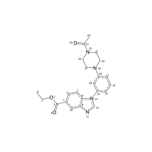 CCOC(=O)c1ccc2c(c1)ncn2-c1cccc(N2CCN(C(C)=O)CC2)c1